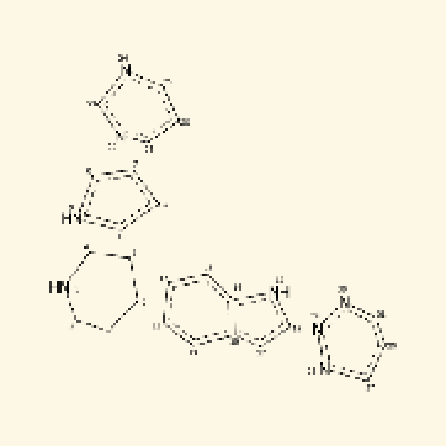 C1CCNCC1.c1cc[nH]c1.c1ccc2[nH]ccc2c1.c1cncnc1.c1cnnnc1